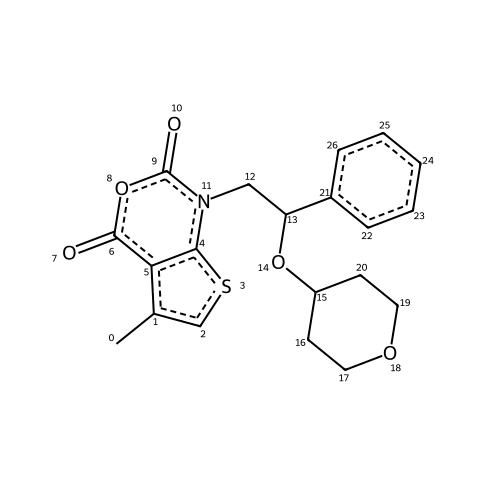 Cc1csc2c1c(=O)oc(=O)n2CC(OC1CCOCC1)c1ccccc1